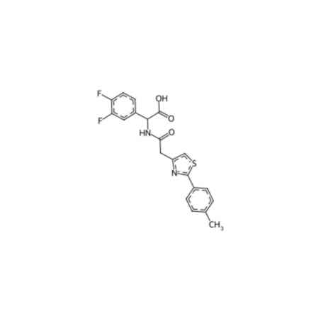 Cc1ccc(-c2nc(CC(=O)NC(C(=O)O)c3ccc(F)c(F)c3)cs2)cc1